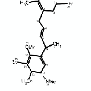 C/C=C(\C/C=C/C(C)C1=C[C@H](NC)C(C)C(CC)=C1OC)CCC(C)C